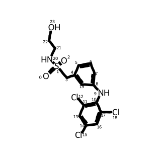 O=S(=O)(Cc1cccc(Nc2c(Cl)cc(Cl)cc2Cl)c1)NCCO